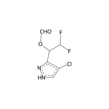 O=COC(c1n[nH]cc1Cl)C(F)F